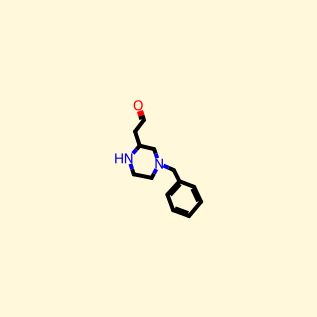 O=CCC1CN(Cc2ccccc2)CCN1